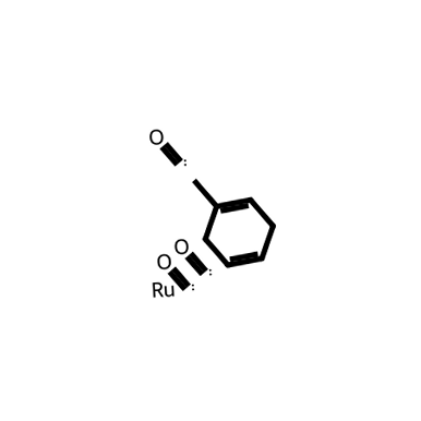 CC1=CCC=CC1.[C]=O.[C]=O.[C]=O.[Ru]